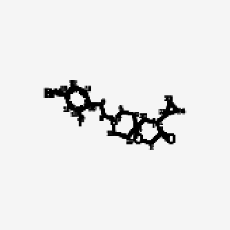 O=C1COC2(CCN(CCc3ccc(Br)cc3F)CC2)CN1C1CC1